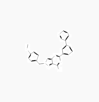 COc1ccc(Cn2cc3nc(-c4cccc(-c5cccnc5)c4)nc(Cl)c3n2)cc1